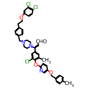 Cc1ccc(COc2ccc(Oc3c(C)cc(C(=CC=O)N4CCN(Cc5ccc(CCOc6ccc(Cl)c(Cl)c6)cc5)CC4)cc3Cl)nc2)cc1